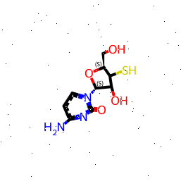 Nc1ccn([C@H]2O[C@@H](CO)C(S)C2O)c(=O)n1